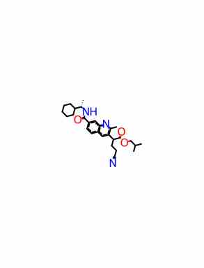 Cc1nc2cc(C(=O)N[C@@H](C)C3CCCCC3)ccc2cc1C(CCC#N)C(=O)OCC(C)C